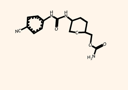 N#Cc1ccc(NC(=O)NC2CCC(COC(N)=O)CC2)cc1